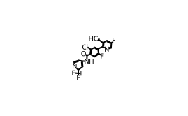 C#Cc1cc(F)cnc1-c1cc(Cl)c(C(=O)Nc2ccnc(C(F)(F)F)c2)cc1F